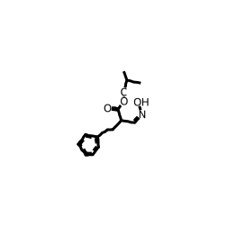 CC(C)COC(=O)C(/C=N\O)CCc1ccccc1